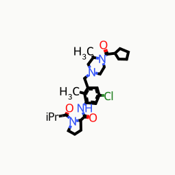 Cc1c(CN2CCN(C(=O)C3CCCC3)C(C)C2)cc(Cl)cc1NC(=O)C1CCCN1C(=O)C(C)C